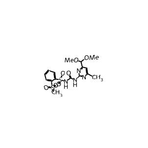 COC(OC)c1cc(C)nc(NC(=O)NS(=O)(=O)c2ccccc2S(C)(=O)=O)n1